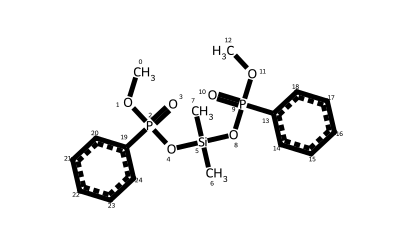 COP(=O)(O[Si](C)(C)OP(=O)(OC)c1ccccc1)c1ccccc1